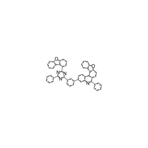 c1ccc(-c2nc(-c3cccc(-c4ccc5c(c4)nc(-c4ccccc4)c4ccc6oc7ccccc7c6c45)c3)nc(-c3cccc4oc5ccccc5c34)n2)cc1